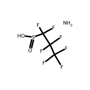 N.O=S(O)C(F)(F)C(F)(F)C(F)(F)F